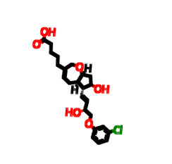 O=C(O)CCCCC1=CC[C@@H]2[C@@H](C=C[C@@H](O)COc3cccc(Cl)c3)[C@H](O)C[C@@H]2OC1